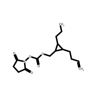 C=CCCC1C(CCC)C1COC(=O)ON1C(=O)CCC1=O